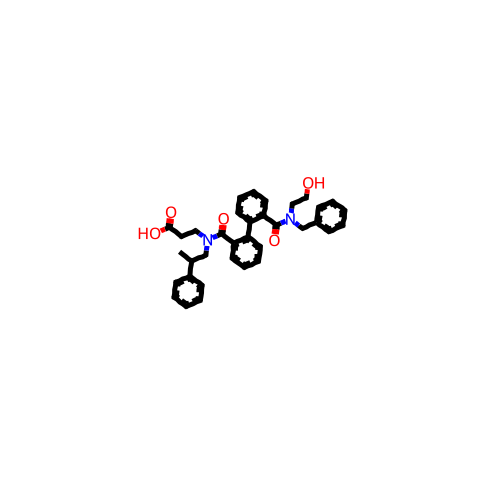 CC(CN(CCC(=O)O)C(=O)c1ccccc1-c1ccccc1C(=O)N(CCO)Cc1ccccc1)c1ccccc1